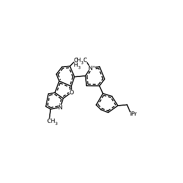 Cc1ccc2c(n1)oc1c(-c3cc(-c4cccc(CC(C)C)c4)cc[n+]3C)c(C)ccc12